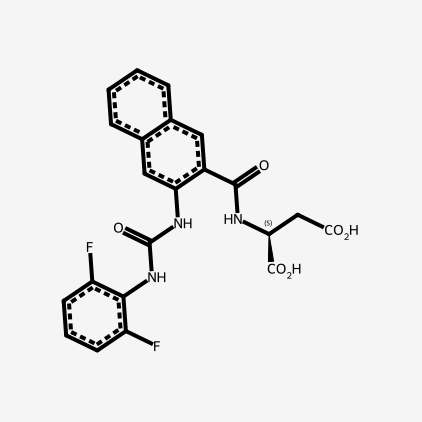 O=C(O)C[C@H](NC(=O)c1cc2ccccc2cc1NC(=O)Nc1c(F)cccc1F)C(=O)O